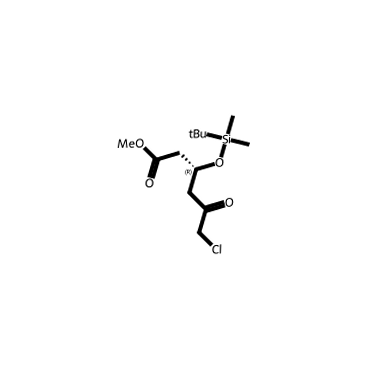 COC(=O)C[C@@H](CC(=O)CCl)O[Si](C)(C)C(C)(C)C